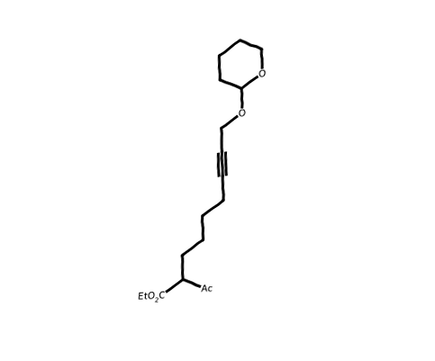 CCOC(=O)C(CCCCC#CCOC1CCCCO1)C(C)=O